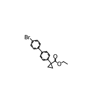 CCOC(=O)C1(c2ccc(-c3ccc(Br)cc3)cc2)CC1